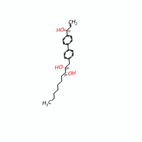 C=C[C@H](O)c1ccc(-c2ccc(C[C@@H](O)[C@H](O)CCCCCCC)cc2)cc1